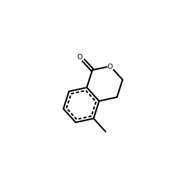 Cc1cccc2c1CCOC2=O